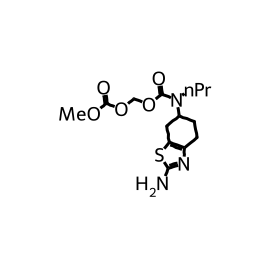 CCCN(C(=O)OCOC(=O)OC)C1CCc2nc(N)sc2C1